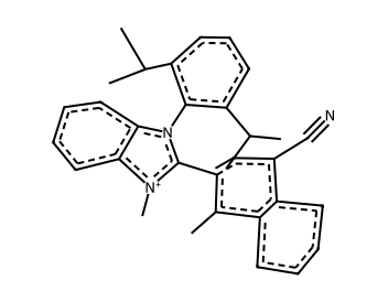 Cc1c(-c2n(-c3c(C(C)C)cccc3C(C)C)c3ccccc3[n+]2C)cc(C#N)c2ccccc12